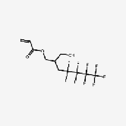 C=CC(=O)OCC(CO)CC(F)(F)C(F)(F)C(F)(F)C(F)(F)F